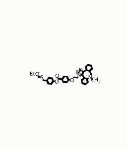 CCOCSCc1ccc(OC(=O)c2ccc(OCCn3nnc4c3-c3ccccc3N(C)Cc3ccccc3-4)cc2)cc1